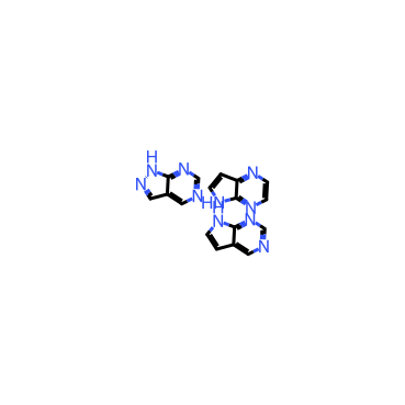 c1cnc2[nH]ccc2n1.c1ncc2cc[nH]c2n1.c1ncc2cn[nH]c2n1